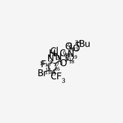 C[C@@H]1[C@H](Oc2nc(Cl)nc3c(F)c(Br)c(C(F)(F)F)cc23)CCN1C(=O)OC(C)(C)C